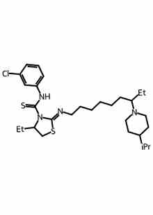 CCC(CCCCCCN=C1SCC(CC)N1C(=S)Nc1cccc(Cl)c1)N1CCC(C(C)C)CC1